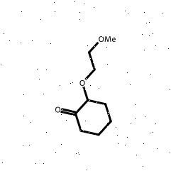 COCCOC1CCCCC1=O